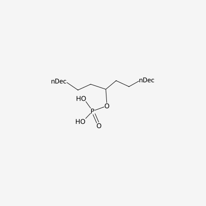 CCCCCCCCCCCCC(CCCCCCCCCCCC)OP(=O)(O)O